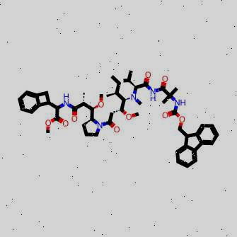 CC[C@H](C)[C@@H]([C@@H](CC(=O)N1CCC[C@H]1[C@H](OC)[C@@H](C)C(=O)NC(C(=O)OC)C1Cc2ccccc21)OC)N(C)[C@H](C(=O)NC(=O)C(C)(C)NC(=O)OCC1c2ccccc2-c2ccccc21)C(C)C